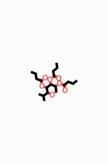 CCCC(=O)OC1COC(C(C)C)C(OC(=O)CCC)C1OC(=O)CCC